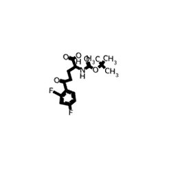 CC(C)(C)OC(=O)NC(CCC(=O)c1ccc(F)cc1F)C(=O)O